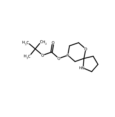 CC(C)(C)OC(=O)ON1CCOC2(CCCN2)C1